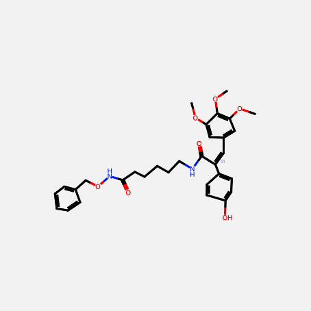 COc1cc(/C=C(\C(=O)NCCCCCC(=O)NOCc2ccccc2)c2ccc(O)cc2)cc(OC)c1OC